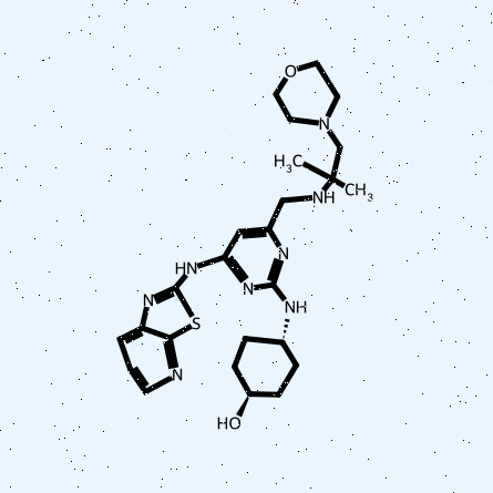 CC(C)(CN1CCOCC1)NCc1cc(Nc2nc3cccnc3s2)nc(N[C@H]2CC[C@H](O)CC2)n1